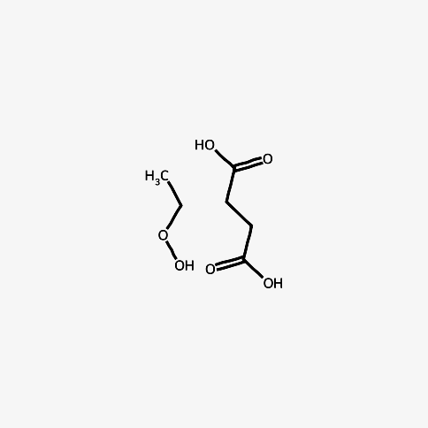 CCOO.O=C(O)CCC(=O)O